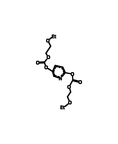 CCOCCOC(=O)Oc1ccc(OC(=O)OCCOCC)nc1